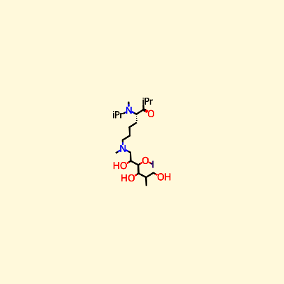 CC(C)C(=O)[C@H](CCCCN(C)CC(O)C(OI)C(O)C(C)CO)N(C)C(C)C